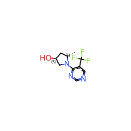 C[C@H]1C[C@H](O)CN1c1ncncc1C(F)(F)F